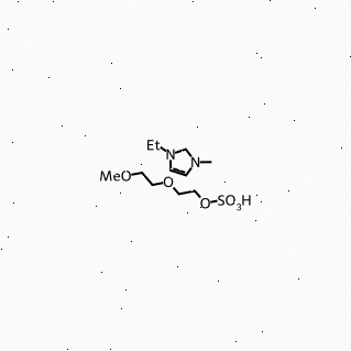 CCN1C=CN(C)C1.COCCOCCOS(=O)(=O)O